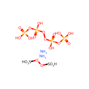 N.N.O=P(O)(O)OP(=O)(O)OOP(=O)(O)OP(=O)(O)O.O=S(=O)(O)OOS(=O)(=O)O